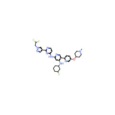 CN1CCC(Oc2ccc(-c3cnc(Nc4ccnc(-c5cnn(CC(F)F)c5)n4)cc3NC3CCCC(F)C3)nc2)CC1